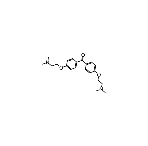 CN(C)CCOc1ccc(C(=O)c2ccc(OCCN(C)C)cc2)cc1